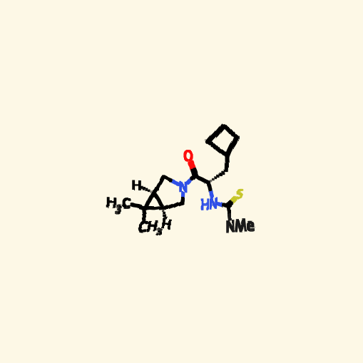 CNC(=S)N[C@@H](CC1CCC1)C(=O)N1C[C@@H]2[C@H](C1)C2(C)C